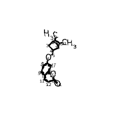 CC1C2CC(COc3ccc4ccc(=O)oc4c3)C(C2)C1C